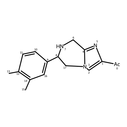 CC(=O)c1cn2c(n1)CNC(c1ccc(C)c(C)c1)C2